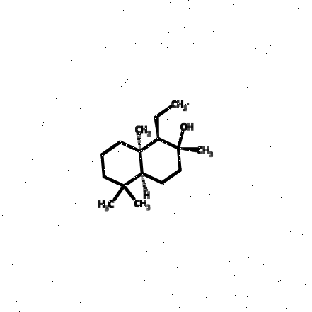 [CH2]C[C@@H]1[C@]2(C)CCCC(C)(C)[C@@H]2CC[C@@]1(C)O